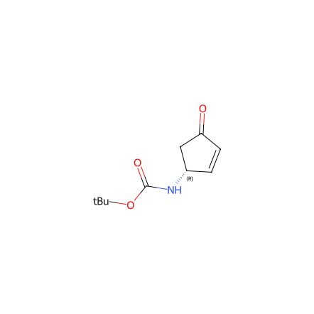 CC(C)(C)OC(=O)N[C@H]1C=CC(=O)C1